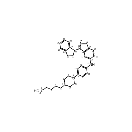 O=C(O)CCCCN1CCN(c2ccc(Nc3ncc4cnn(C5CCc6ccccc65)c4n3)cc2)CC1